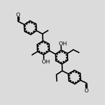 CCc1cc(C(CC)c2ccc(C=O)cc2)cc(-c2cc(C(C)c3ccc(C=O)cc3)cc(C)c2O)c1O